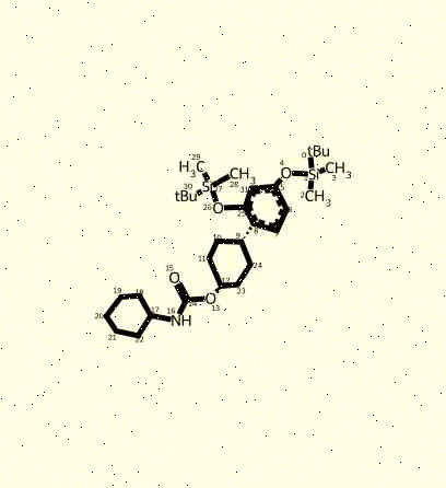 CC(C)(C)[Si](C)(C)Oc1ccc([C@H]2CC[C@H](OC(=O)NC3CCCCC3)CC2)c(O[Si](C)(C)C(C)(C)C)c1